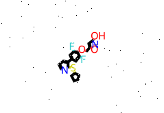 Oc1cc(COc2c(F)cc(-c3cccnc3SC3CCCC3)cc2F)on1